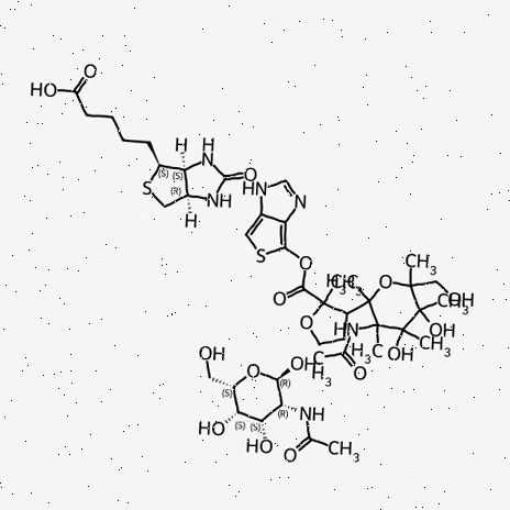 CC(=O)NC1(C)C(C)(C2CCOC2(C)C(=O)Oc2scc3[nH]cnc23)OC(C)(CO)C(C)(O)C1(C)O.CC(=O)N[C@@H]1[C@H](O)[C@H](O)[C@H](CO)O[C@H]1O.O=C(O)CCCC[C@@H]1SC[C@@H]2NC(=O)N[C@@H]21